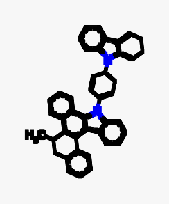 CC1Cc2ccccc2-c2c1c1ccccc1c1c2c2ccccc2n1C1=CCC(n2c3c(c4ccccc42)=CCCC=3)C=C1